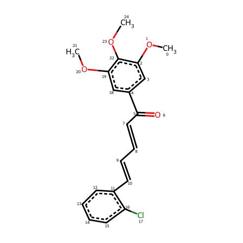 COc1cc(C(=O)/C=C/C=C/c2ccccc2Cl)cc(OC)c1OC